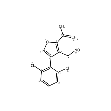 C=C(C)c1onc(-c2c(Cl)cccc2Cl)c1CN=O